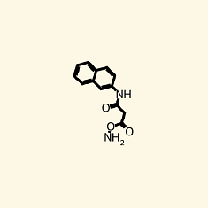 NOC(=O)CC(=O)Nc1ccc2ccccc2c1